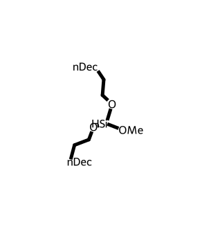 CCCCCCCCCCCCO[SiH](OC)OCCCCCCCCCCCC